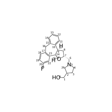 OCC1CCN(C[C@H]2C[C@@H]3c4ccccc4Cc4ccc(F)cc4[C@@H]3O2)C1